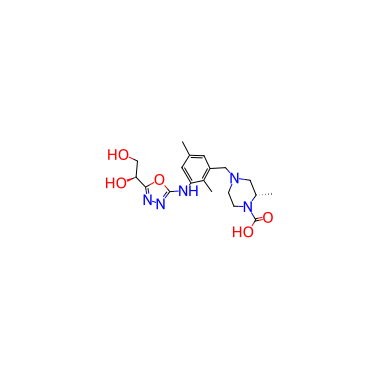 Cc1cc(CN2CCN(C(=O)O)[C@@H](C)C2)c(C)c(Nc2nnc([C@@H](O)CO)o2)c1